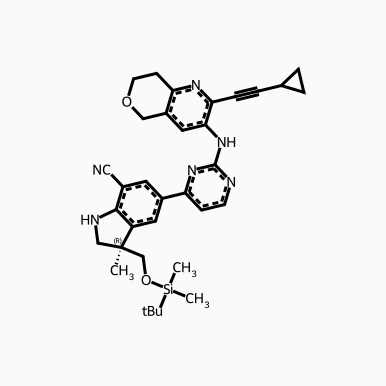 CC(C)(C)[Si](C)(C)OC[C@@]1(C)CNc2c(C#N)cc(-c3ccnc(Nc4cc5c(nc4C#CC4CC4)CCOC5)n3)cc21